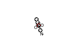 CN(C)c1ccc(-n2c(=O)n3n(c2=O)C2c4ccccc4C3c3ccccc32)cc1